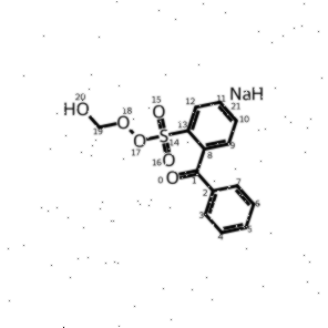 O=C(c1ccccc1)c1ccccc1S(=O)(=O)OOCO.[NaH]